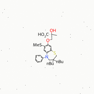 CCCCC1(CCCC)CSc2cc(OC[C@](C)(O)C(=O)O)c(SC)cc2N(c2ccccc2)C1